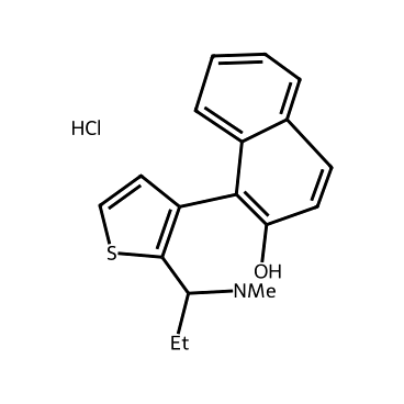 CCC(NC)c1sccc1-c1c(O)ccc2ccccc12.Cl